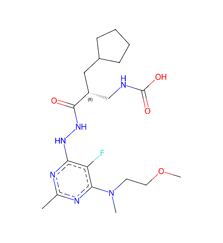 COCCN(C)c1nc(C)nc(NNC(=O)[C@@H](CNC(=O)O)CC2CCCC2)c1F